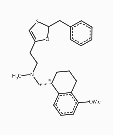 COc1cccc2c1CCC[C@H]2CN(C)CCC1=CSC(Cc2ccccc2)O1